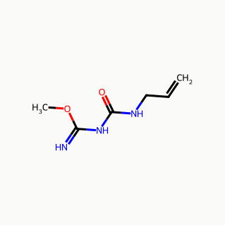 C=CCNC(=O)NC(=N)OC